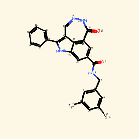 O=C(NCc1cc(C(F)(F)F)cc(C(F)(F)F)c1)c1cc2c3c(c(-c4ccccc4)[nH]c3c1)C=NNC2=O